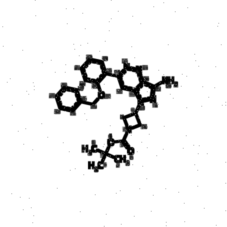 CC(C)(C)OC(=O)N1CC(n2nc(N)c3nnc(-c4ccccc4OCc4ccccc4)cc32)C1